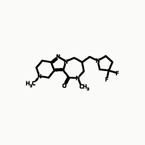 CN1CCc2nn3c(c2C1)C(=O)N(C)CC(CN1CCC(F)(F)C1)C3